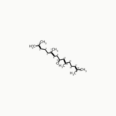 CC(C)=CCC/C(C)=C/CC([O])/C=C(\C)CCC=C(C)C